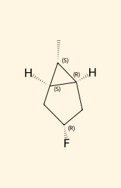 C[C@@H]1[C@H]2C[C@H](F)C[C@@H]12